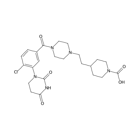 O=C1CCN(c2cc(C(=O)N3CCN(CCC4CCN(C(=O)O)CC4)CC3)ccc2Cl)C(=O)N1